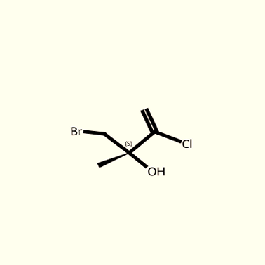 C=C(Cl)[C@](C)(O)CBr